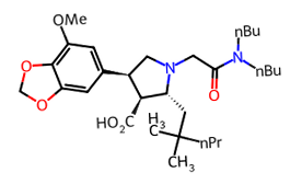 CCCCN(CCCC)C(=O)CN1C[C@H](c2cc(OC)c3c(c2)OCO3)[C@H](C(=O)O)[C@H]1CC(C)(C)CCC